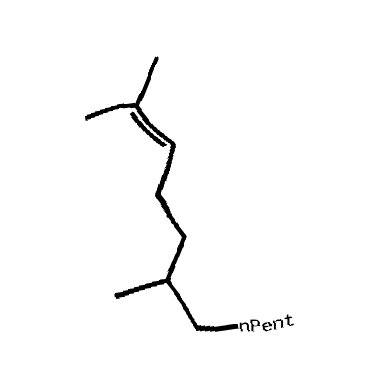 CCCCCCC(C)CCC=C(C)C